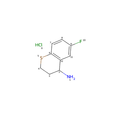 Cl.NC1CCSc2ccc(F)cc21